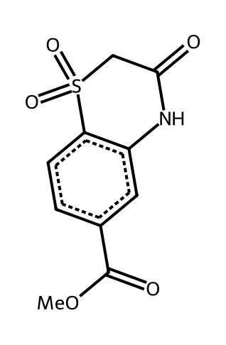 COC(=O)c1ccc2c(c1)NC(=O)CS2(=O)=O